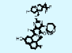 C#Cc1c(F)ccc2cc(O)cc(-c3nc(OC)c4c(N5CCCOCC5)nc(OC[C@@]56C[C@@H](F)CN5CC5(CC5(F)F)C6)nc4c3F)c12